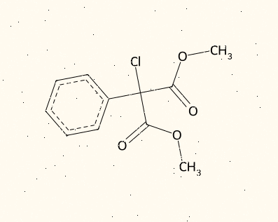 COC(=O)C(Cl)(C(=O)OC)c1ccccc1